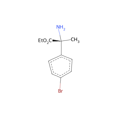 CCOC(=O)[C@](C)(N)c1ccc(Br)cc1